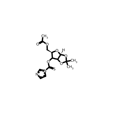 CC(=O)OC[C@H]1O[C@H]2OC(C)(C)OC2C1OC(=S)n1ccnc1